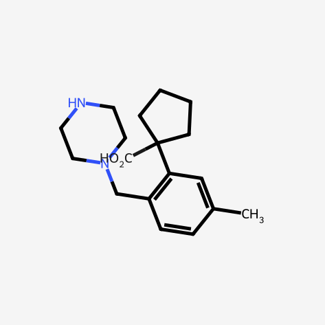 Cc1ccc(CN2CCNCC2)c(C2(C(=O)O)CCCC2)c1